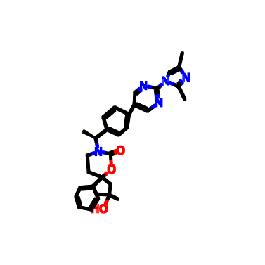 Cc1cn(-c2ncc(-c3ccc([C@H](C)N4CCC(CC(C)(C)O)(c5ccccc5)OC4=O)cc3)cn2)c(C)n1